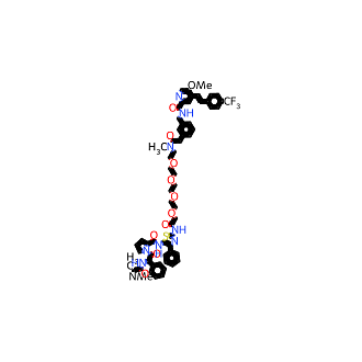 CNC(C)C(=O)NC(C(=O)N1CCCC1C(=O)Nc1sc(NC(=O)COCCOCCOCCOCCN(C)C(=O)Cc2cccc(CNC(=O)c3cc(C=CC4CCC(C(F)(F)F)CC4)c(OC)cn3)c2)nc1-c1ccccc1)C1CCCCC1